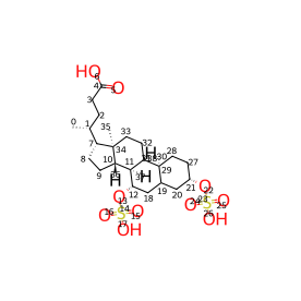 C[C@H](CCC(=O)O)[C@H]1CC[C@H]2[C@@H]3[C@@H](OS(=O)(=O)O)CC4C[C@@H](OS(=O)(=O)O)CC[C@]4(C)[C@H]3CC[C@]12C